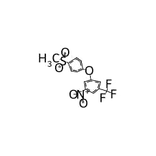 CS(=O)(=O)c1ccc(Oc2cc([N+](=O)[O-])cc(C(F)(F)F)c2)cc1